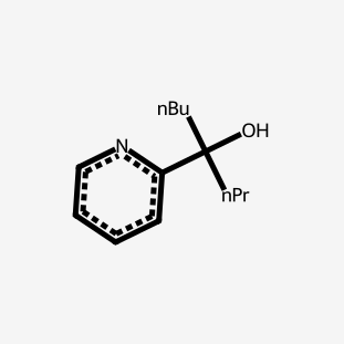 CCCCC(O)(CCC)c1ccccn1